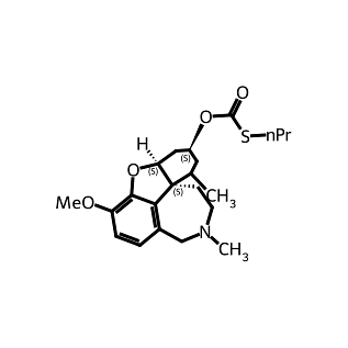 CCCSC(=O)O[C@H]1CC(C)[C@@]23CCN(C)Cc4ccc(OC)c(c42)O[C@H]3C1